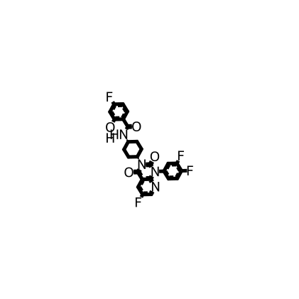 O=C(N[C@H]1CC[C@@H](n2c(=O)c3cc(F)cnc3n(-c3ccc(F)c(F)c3)c2=O)CC1)c1ccc(F)cc1O